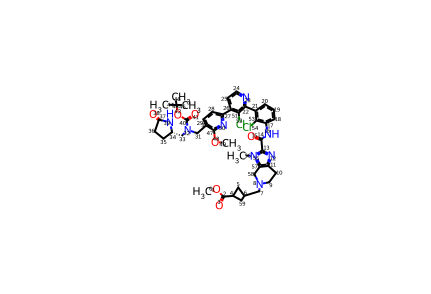 COC(=O)C1CC(CN2CCc3nc(C(=O)Nc4cccc(-c5nccc(-c6ccc(CN(C[C@@H]7CCC(=O)N7)C(=O)OC(C)(C)C)c(OC)n6)c5Cl)c4Cl)n(C)c3C2)C1